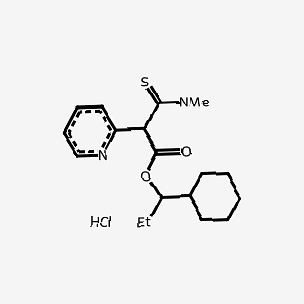 CCC(OC(=O)C(C(=S)NC)c1ccccn1)C1CCCCC1.Cl